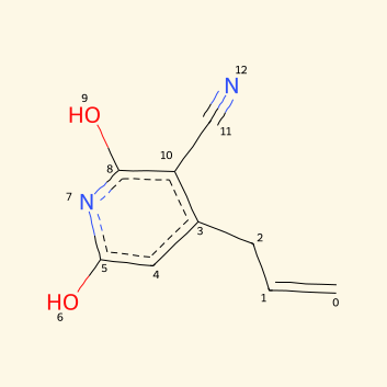 C=CCc1cc(O)nc(O)c1C#N